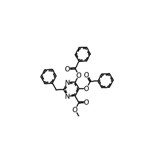 COC(=O)c1nc(Cc2ccccc2)nc(OC(=O)c2ccccc2)c1OC(=O)c1ccccc1